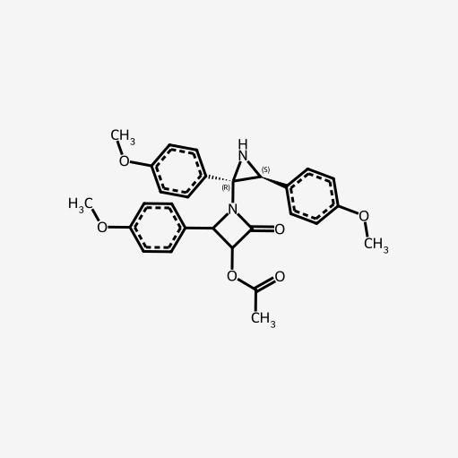 COc1ccc(C2C(OC(C)=O)C(=O)N2[C@@]2(c3ccc(OC)cc3)N[C@H]2c2ccc(OC)cc2)cc1